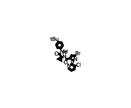 CC(C)(C)c1ccc(NC(=O)C2(NC(=O)c3cc(Br)nn3-c3ncccc3Cl)CC2)cc1